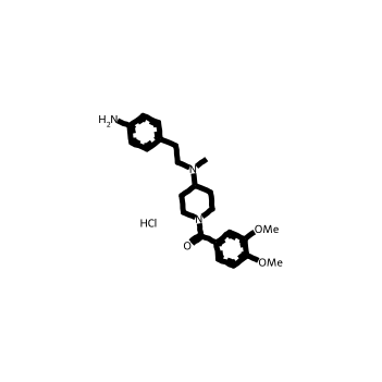 COc1ccc(C(=O)N2CCC(N(C)CCc3ccc(N)cc3)CC2)cc1OC.Cl